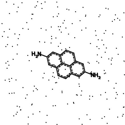 Nc1[c]c2ccc3cc(N)cc4ccc(c1)c2c34